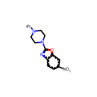 CC(C)N1CCN(c2nc3ccc([N+](=O)[O-])cc3o2)CC1